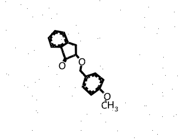 COc1ccc(COC2Cc3ccccc3C2=O)cc1